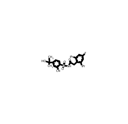 CC(C)c1cc(F)cc(C(C)C)c1CC(=O)NS(=O)(=O)c1ccc(C(C)(C)O)cc1C#N